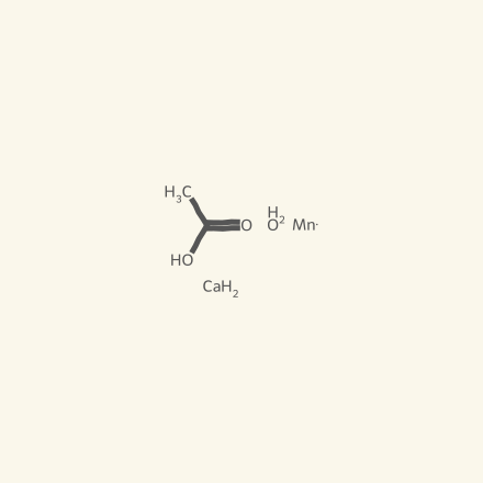 CC(=O)O.O.[CaH2].[Mn]